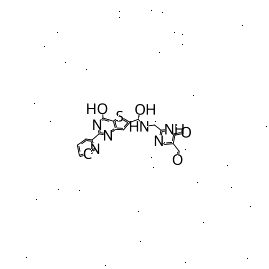 O=Cc1cnc(CN[C@H](O)c2cc3nc(-c4ccccn4)nc(O)c3s2)[nH]c1=O